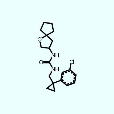 O=C(NCC1(c2cccc(Cl)c2)CC1)NC1COC2(CCCC2)C1